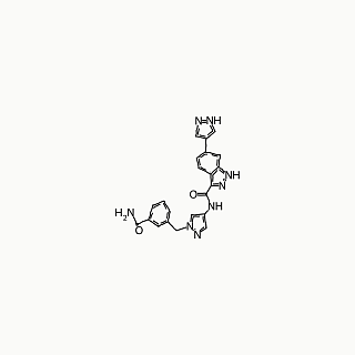 NC(=O)c1cccc(Cn2cc(NC(=O)c3n[nH]c4cc(-c5cn[nH]c5)ccc34)cn2)c1